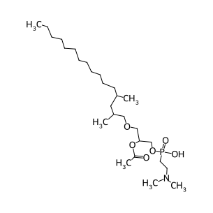 CCCCCCCCCCCCC(C)CC(C)COCC(COP(=O)(O)CCN(C)C)OC(C)=O